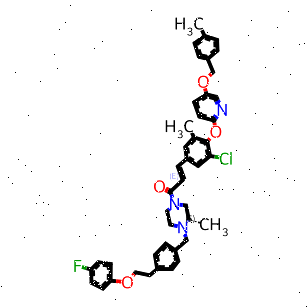 Cc1ccc(COc2ccc(Oc3c(C)cc(/C=C/C(=O)N4CCN(Cc5ccc(CCOc6ccc(F)cc6)cc5)[C@@H](C)C4)cc3Cl)nc2)cc1